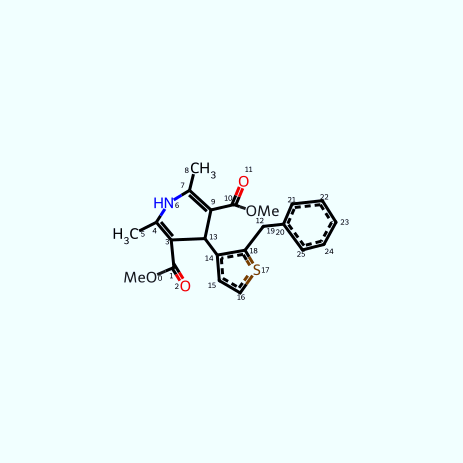 COC(=O)C1=C(C)NC(C)=C(C(=O)OC)C1c1ccsc1Cc1ccccc1